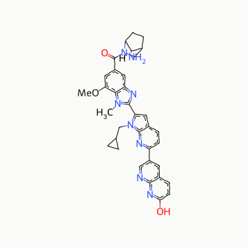 COc1cc(C(=O)N2CC3CCC2[C@@H]3N)cc2nc(-c3cc4ccc(-c5cnc6nc(O)ccc6c5)nc4n3CC3CC3)n(C)c12